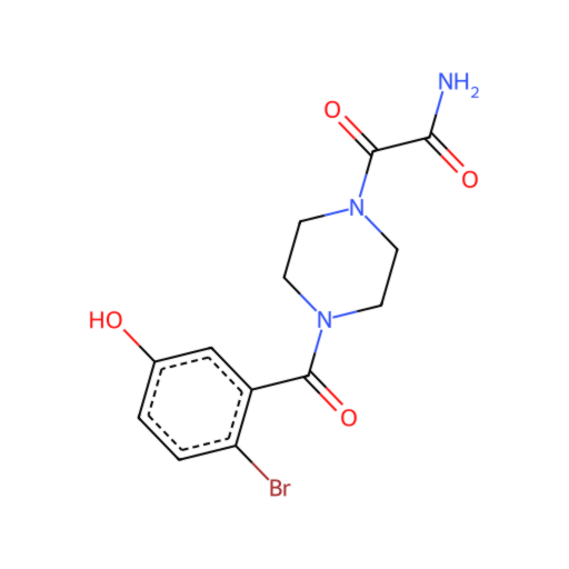 NC(=O)C(=O)N1CCN(C(=O)c2cc(O)ccc2Br)CC1